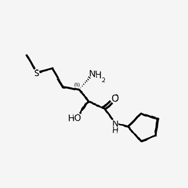 CSCC[C@H](N)C(O)C(=O)NC1CCCC1